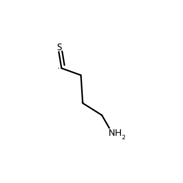 NCCC[C]=S